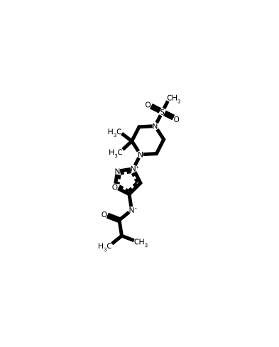 CC(C)C(=O)[N-]c1c[n+](N2CCN(S(C)(=O)=O)CC2(C)C)no1